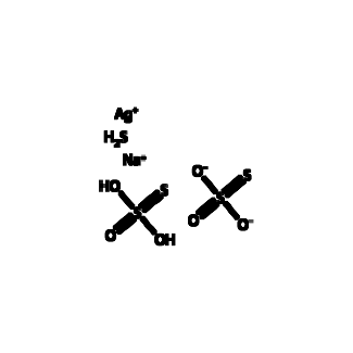 O=S(O)(O)=S.O=S([O-])([O-])=S.S.[Ag+].[Na+]